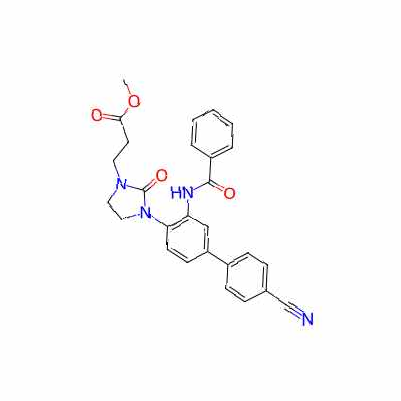 COC(=O)CCN1CCN(c2ccc(-c3ccc(C#N)cc3)cc2NC(=O)c2ccccc2)C1=O